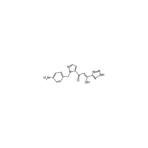 Nc1ccc(Cn2nccc2C(=O)C=C(O)c2nn[nH]n2)cc1